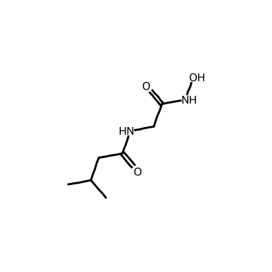 CC(C)CC(=O)NCC(=O)NO